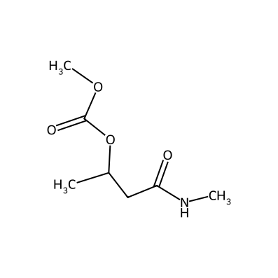 CNC(=O)CC(C)OC(=O)OC